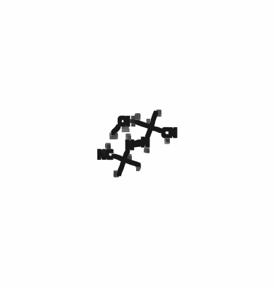 CC(C)(C#N)N=NC(C)(C)C#N.CO